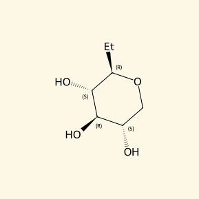 CC[C@H]1OC[C@H](O)[C@@H](O)[C@@H]1O